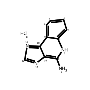 Cl.Nc1[nH]c2ccccc2c2ncnc1-2